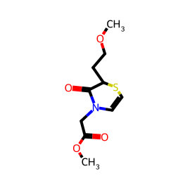 COCCC1SC=CN(CC(=O)OC)C1=O